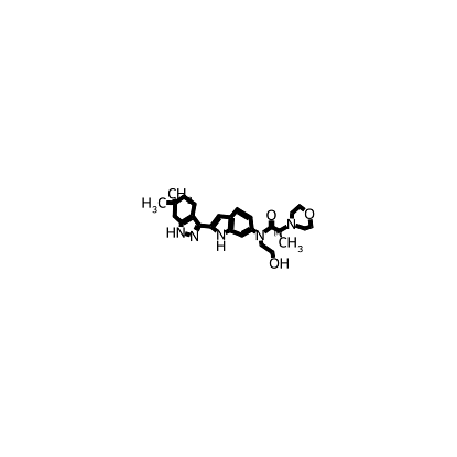 C[C@H](C(=O)N(CCO)c1ccc2cc(-c3n[nH]c4c3CCC(C)(C)C4)[nH]c2c1)N1CCOCC1